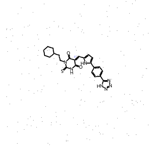 O=C1NC(=S)N(CCC2CCCCC2)C(=O)/C1=C/c1ccc(-c2ccc(-c3nnn[nH]3)cc2)[nH]1